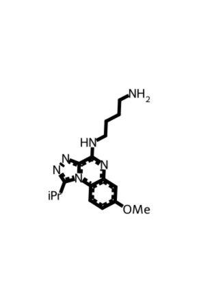 COc1ccc2c(c1)nc(NCCCCN)c1nnc(C(C)C)n12